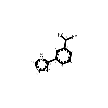 FC(F)c1cccc(-c2nnco2)c1